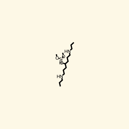 CCCNCCCC(CCCNCCC)O[SiH](OC)OC